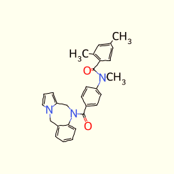 Cc1ccc(C(=O)N(C)c2ccc(C(=O)N3Cc4cccn4Cc4ccccc43)cc2)c(C)c1